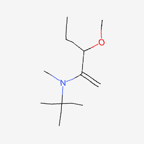 C=C(C(CC)OC)N(C)C(C)(C)C